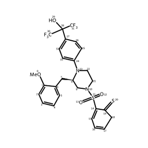 COc1ccccc1C[C@@H]1CN(S(=O)(=O)C2=CC=CCC2=S)CCN1c1ccc(C(O)(C(F)(F)F)C(F)(F)F)cc1